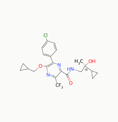 C[C@@](O)(CNC(=O)c1nc(-c2ccc(Cl)cc2)c(OCC2CC2)nc1C(F)(F)F)C1CC1